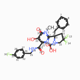 Cn1c([C@]2(Cc3ccccc3)CC(F)(F)CN2C(=O)O)nc(C(=O)NCc2ccc(F)cc2)c(O)c1=O